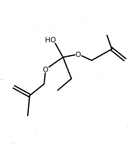 C=C(C)COC(O)(CC)OCC(=C)C